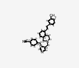 Cc1cccc(C=Cc2cccc3c2CCN(Cc2cncn2Cc2ccc(C#N)cc2)C3)c1